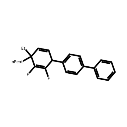 CCCCCC1(CC)C=CC(c2ccc(-c3ccccc3)cc2)C(F)=C1F